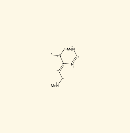 CN/C=N\C(=C/CNC)N(C)C